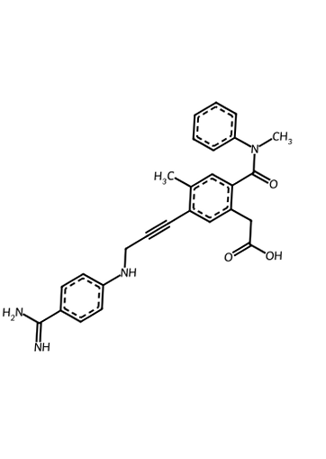 Cc1cc(C(=O)N(C)c2ccccc2)c(CC(=O)O)cc1C#CCNc1ccc(C(=N)N)cc1